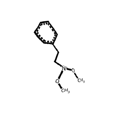 CO[N+](CCc1ccccc1)OC